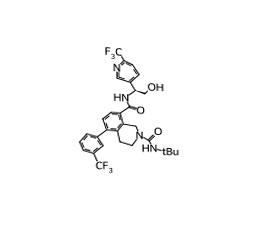 CC(C)(C)NC(=O)N1CCc2c(-c3cccc(C(F)(F)F)c3)ccc(C(=O)N[C@H](CO)c3ccc(C(F)(F)F)nc3)c2C1